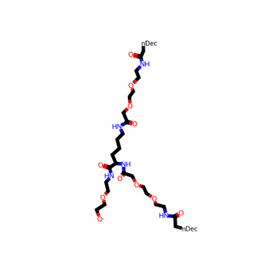 CCCCCCCCCCCC(=O)NCCOCCOCC(=O)NCCCCC(NC(=O)COCCOCCNC(=O)CCCCCCCCCCC)C(=O)NCCOCC[O]